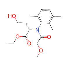 CCOC(=O)[C@H](CCO)N(C(=O)COC)c1c(C)ccc(C)c1C